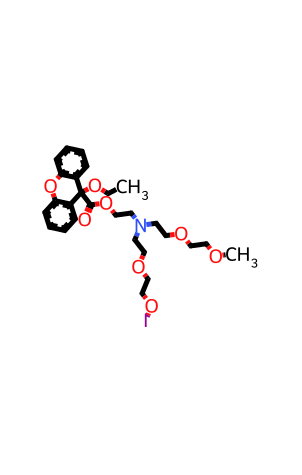 CCOC1(C(=O)OCCN(CCOCCOC)CCOCCOI)c2ccccc2Oc2ccccc21